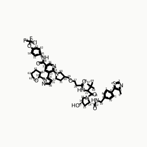 Cc1ncsc1-c1ccc(CNC(=O)[C@@H]2C[C@@H](O)CN2C(=O)C(NC(=O)CCOCC2CCN(c3ncc(C(=O)Nc4ccc(OC(F)(F)Cl)cc4)cc3-c3ccnn3C3CCCCO3)C2)C(C)(C)C)cc1